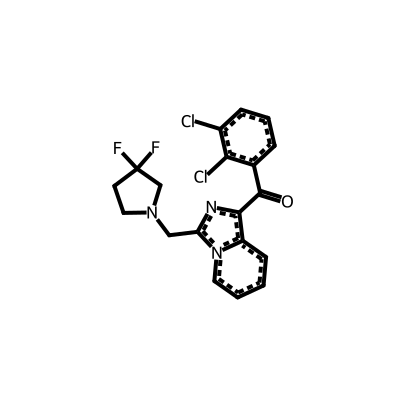 O=C(c1cccc(Cl)c1Cl)c1nc(CN2CCC(F)(F)C2)n2ccccc12